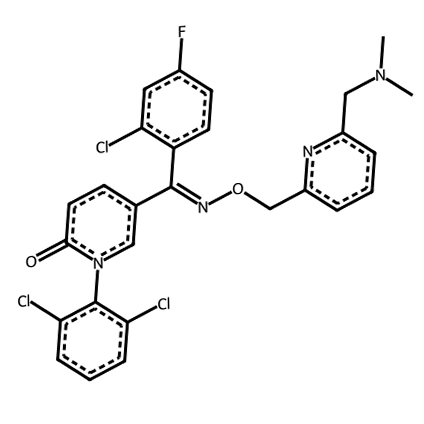 CN(C)Cc1cccc(CON=C(c2ccc(=O)n(-c3c(Cl)cccc3Cl)c2)c2ccc(F)cc2Cl)n1